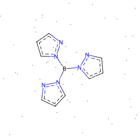 c1cnn(B(n2cccn2)n2cccn2)c1